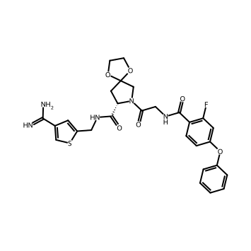 N=C(N)c1csc(CNC(=O)[C@@H]2CC3(CN2C(=O)CNC(=O)c2ccc(Oc4ccccc4)cc2F)OCCO3)c1